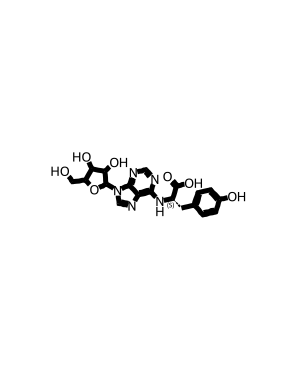 O=C(O)[C@H](Cc1ccc(O)cc1)Nc1ncnc2c1ncn2C1OC(CO)C(O)C1O